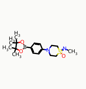 CN=S1(=O)CCN(c2ccc(B3OC(C)(C)C(C)(C)O3)cc2)CC1